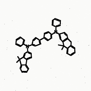 CC1(C)c2ccccc2Cc2ccc(N(c3ccccc3)c3ccc(-c4ccc(N(c5ccccc5)c5ccc6c(c5)C(C)(C)c5ccccc5-6)cc4)cc3)cc21